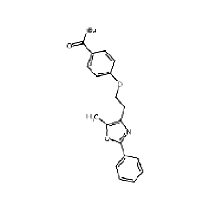 CCCCC(=O)c1ccc(OCCc2nc(-c3ccccc3)oc2C)cc1